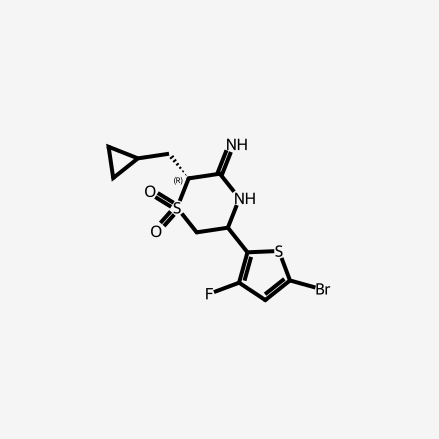 N=C1NC(c2sc(Br)cc2F)CS(=O)(=O)[C@@H]1CC1CC1